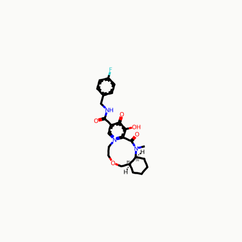 CN1C(=O)c2c(O)c(=O)c(C(=O)NCc3ccc(F)cc3)cn2CCOC[C@@H]2CCCC[C@@H]21